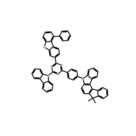 CC1(C)c2ccccc2-c2c1ccc1c2c2ccccc2n1-c1ccc(-c2nc(-c3ccc4c(c3)oc3cccc(-c5ccccc5)c34)nc(-n3c4ccccc4c4ccccc43)n2)cc1